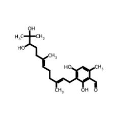 C/C(=C\Cc1c(O)cc(C)c(C=O)c1O)CC/C=C(\C)CCC(O)C(C)(C)O